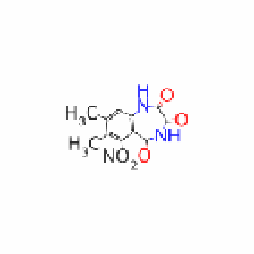 Cc1cc2[nH]c(=O)c(=O)[nH]c(=O)c2c([N+](=O)[O-])c1C